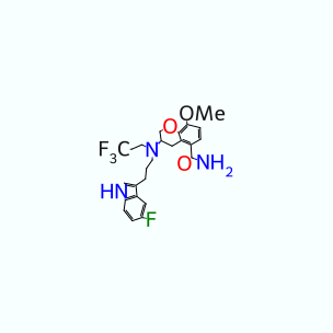 COc1ccc(C(N)=O)c2c1OC[C@H](N(CCCc1c[nH]c3ccc(F)cc13)CCC(F)(F)F)C2